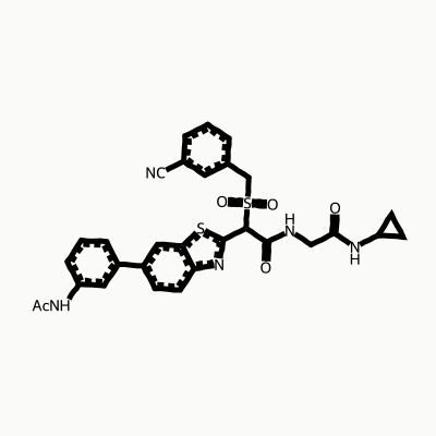 CC(=O)Nc1cccc(-c2ccc3nc(C(C(=O)NCC(=O)NC4CC4)S(=O)(=O)Cc4cccc(C#N)c4)sc3c2)c1